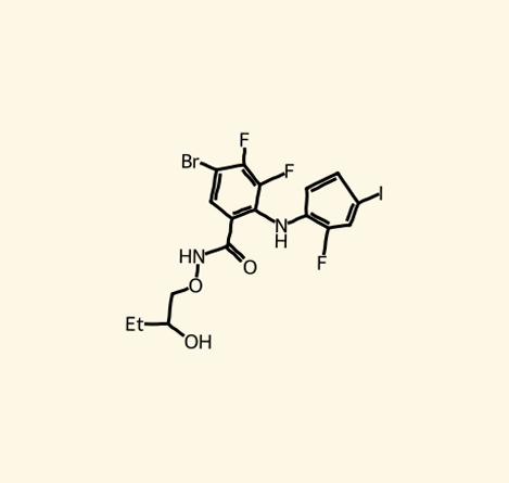 CCC(O)CONC(=O)c1cc(Br)c(F)c(F)c1Nc1ccc(I)cc1F